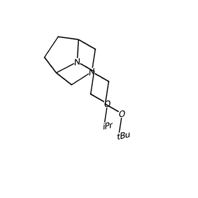 CC(C)OCCN1C2CCC1CN(CCOC(C)(C)C)C2